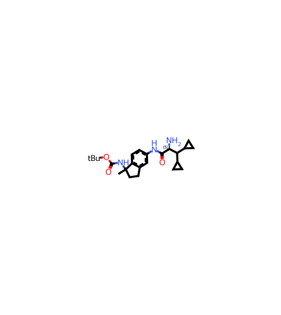 CC(C)(C)OC(=O)NC1(C)CCc2cc(NC(=O)[C@@H](N)C(C3CC3)C3CC3)ccc21